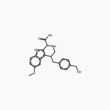 COc1ccc2[nH]c3c(c2c1)C(Cc1ccc(CO)cc1)CNC3C(=O)O